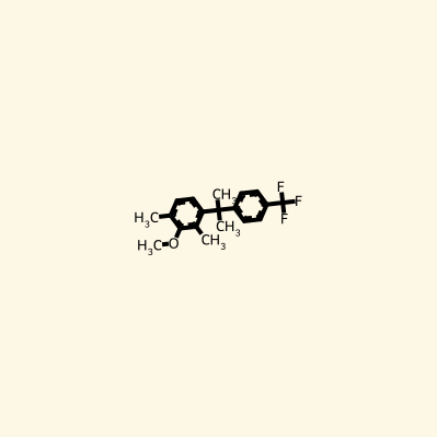 COc1c(C)ccc(C(C)(C)c2ccc(C(F)(F)F)cc2)c1C